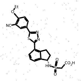 CCOc1ccc(-c2nnc(-c3cccc4c3CC[C@@H]4NS(=O)(=O)CC(=O)O)s2)cc1C#N